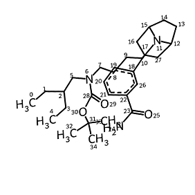 CCC(CC)CN(CCCCN1C2CCC1CC(c1cccc(C(N)=O)c1)C2)C(=O)OC(C)(C)C